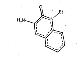 CCn1c(=O)c(N)cc2ccccc21